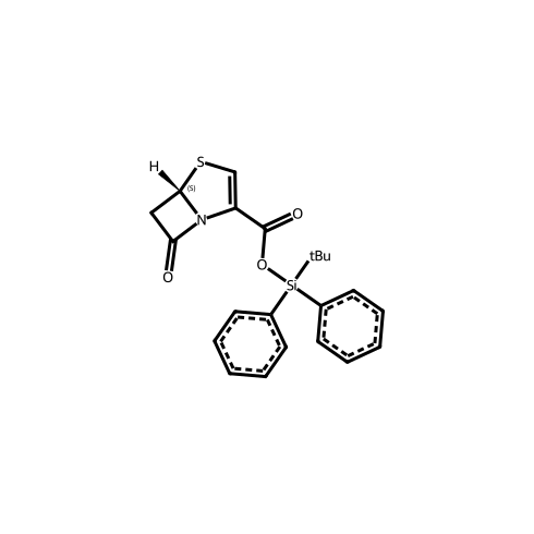 CC(C)(C)[Si](OC(=O)C1=CS[C@H]2CC(=O)N12)(c1ccccc1)c1ccccc1